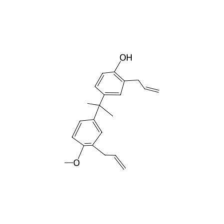 C=CCc1cc(C(C)(C)c2ccc(OC)c(CC=C)c2)ccc1O